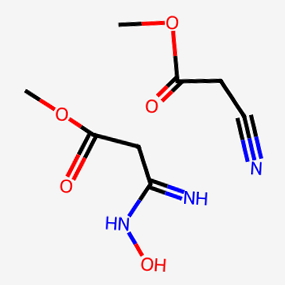 COC(=O)CC#N.COC(=O)CC(=N)NO